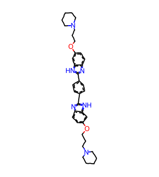 c1cc2nc(-c3ccc(-c4nc5ccc(OCCCN6CCCCC6)cc5[nH]4)cc3)[nH]c2cc1OCCCN1CCCCC1